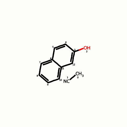 CC#N.Oc1ccc2ccccc2c1